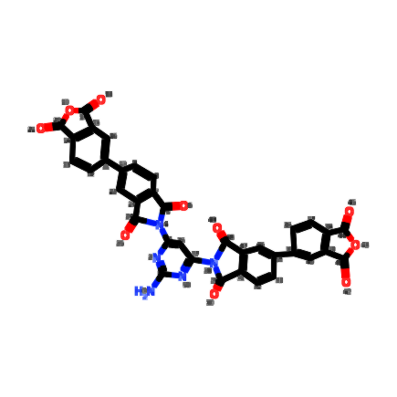 Nc1nc(N2C(=O)c3ccc(-c4ccc5c(c4)C(=O)OC5=O)cc3C2=O)cc(N2C(=O)c3ccc(-c4ccc5c(c4)C(=O)OC5=O)cc3C2=O)n1